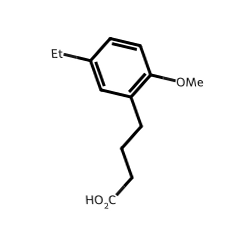 CCc1ccc(OC)c(CCCC(=O)O)c1